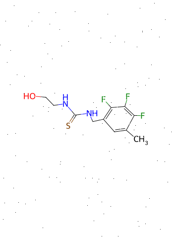 Cc1cc(CNC(=S)NCCO)c(F)c(F)c1F